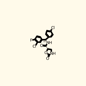 O=C1NC[C@@H](C(=O)N[C@@H](c2ccc(Cl)cc2)c2ccc(F)c(Cl)c2)O1